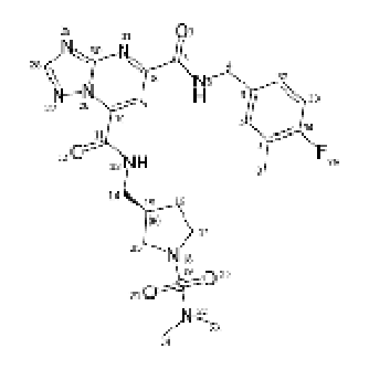 Cc1cc(CNC(=O)c2cc(C(=O)NC[C@H]3CCN(S(=O)(=O)N(C)C)C3)n3ncnc3n2)ccc1F